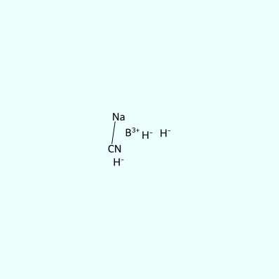 N#[C][Na].[B+3].[H-].[H-].[H-]